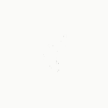 Clc1ccc2c(c1)sc1ccc3sc(Cl)nc3c12